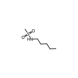 CCCCCNS(C)(=O)=O